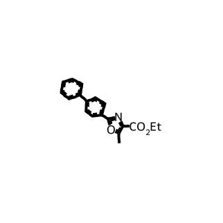 CCOC(=O)c1nc(-c2ccc(-c3ccccc3)cc2)oc1C